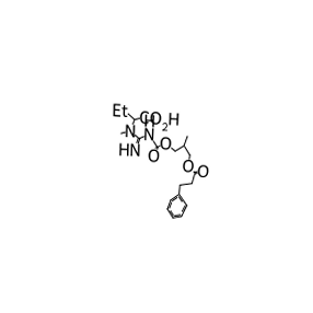 CCC(C(=O)O)N(C)C(=N)NC(=O)OCC(C)COC(=O)CCc1ccccc1